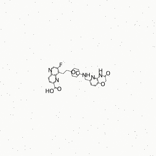 O=C1COc2ccc(CNC34CCC(CCc5c(F)cnc6ccc(C(=O)O)nc56)(CC3)OC4)nc2N1